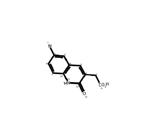 O=C(O)Cc1cc2cc(Br)ccc2[nH]c1=O